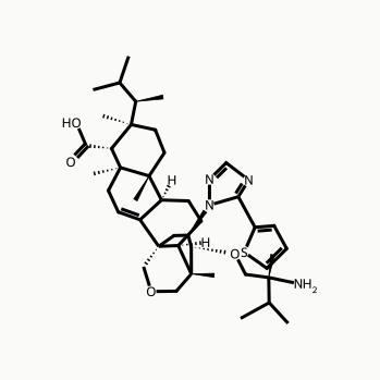 CC(C)[C@@H](C)[C@@]1(C)CC[C@]2(C)[C@H]3CC[C@@H]4[C@@]5(COC[C@@]4(C)[C@@H](OC[C@](C)(N)C(C)C)[C@H](n4ncnc4-c4cccs4)C5)C3=CC[C@@]2(C)[C@@H]1C(=O)O